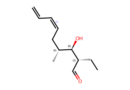 C=C/C=C\C[C@@H](C)[C@@H](O)[C@@H](C=O)CC